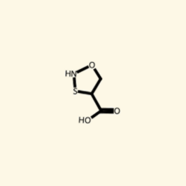 O=C(O)C1CONS1